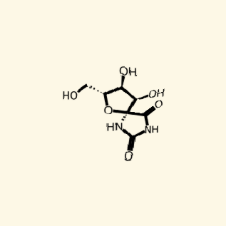 O=C1NC(=O)[C@@]2(N1)O[C@H](CO)[C@@H](O)[C@H]2O